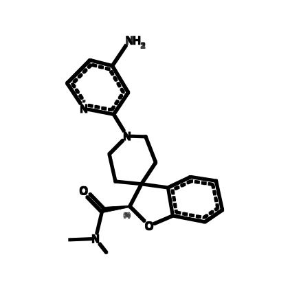 CN(C)C(=O)[C@@H]1Oc2ccccc2C12CCN(c1cc(N)ccn1)CC2